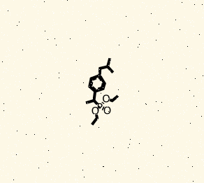 CCOP(=O)(OCC)C(C)c1ccc(CC(C)C)cc1